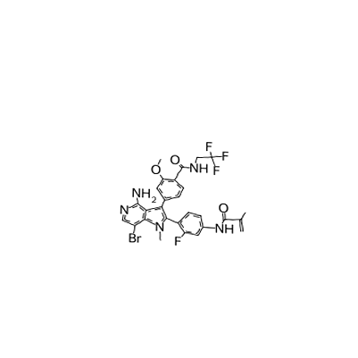 C=C(C)C(=O)Nc1ccc(-c2c(-c3ccc(C(=O)NCC(F)(F)F)c(OC)c3)c3c(N)ncc(Br)c3n2C)c(F)c1